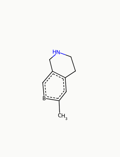 Cc1bcc2c(c1)CCNC2